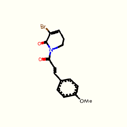 COc1ccc(/C=C/C(=O)N2CCC=C(Br)C2=O)cc1